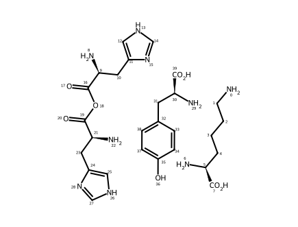 NCCCC[C@H](N)C(=O)O.N[C@@H](Cc1c[nH]cn1)C(=O)OC(=O)[C@@H](N)Cc1c[nH]cn1.N[C@@H](Cc1ccc(O)cc1)C(=O)O